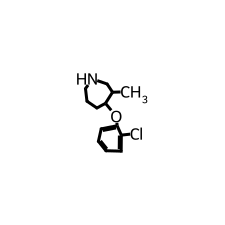 CC1CNCCCC1Oc1ccccc1Cl